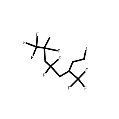 CC(F)(CC(F)(F)CC(CCI)C(F)(F)F)C(F)(F)F